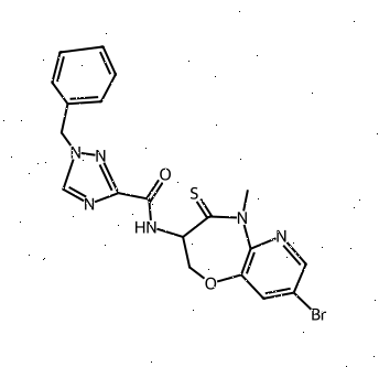 CN1C(=S)C(NC(=O)c2ncn(Cc3ccccc3)n2)COc2cc(Br)cnc21